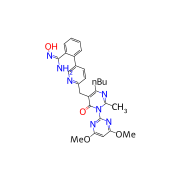 CCCCc1nc(C)n(-c2nc(OC)cc(OC)n2)c(=O)c1Cc1ccc(-c2ccccc2/C(N)=N\O)cn1